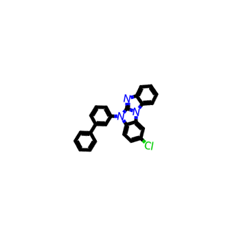 Clc1ccc2c(c1)n1c3ccccc3nc1n2-c1cccc(-c2ccccc2)c1